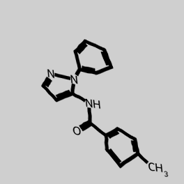 Cc1ccc(C(=O)Nc2ccnn2-c2ccccc2)cc1